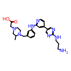 CC1CN(CC(=O)O)CCN1Cc1cccc(Nc2cc(-c3cnc(NCCCN)nc3)ccn2)c1